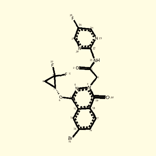 O=C(Cn1nc(O[C@@H]2CC2(F)F)c2cc(Br)ccc2c1=O)Nc1ncc(F)cn1